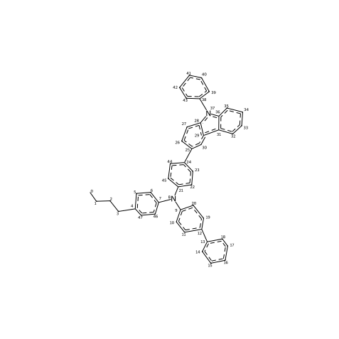 CCCCc1ccc(N(c2ccc(-c3ccccc3)cc2)c2ccc(-c3ccc4c(c3)c3ccccc3n4-c3ccccc3)cc2)cc1